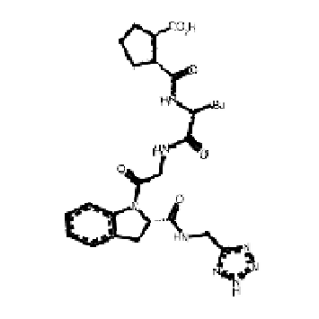 CCC(C)C(NC(=O)[C@H]1CCC[C@H]1C(=O)O)C(=O)NCC(=O)N1c2ccccc2C[C@H]1C(=O)NCc1nn[nH]n1